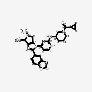 CC(C)(C)C1c2nc(-c3ccc4c(c3)OCO4)n(-c3ccnc(NC4CCCN(C(=O)C5CC5)C4)n3)c2CN1C(=O)O